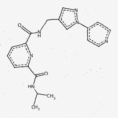 CC(C)NC(=O)c1cccc(C(=O)NCc2cnn(-c3ccncc3)c2)n1